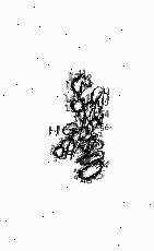 CN(C(=O)O)[C@H](C(=O)N[C@@H](Cc1ccc(-c2ccccn2)cc1)C[C@H](O)[C@H](Cc1ccccc1)NC(=O)[C@@H](NC(=O)COc1ccccc1)C(C)(C)C)C(C)(C)C